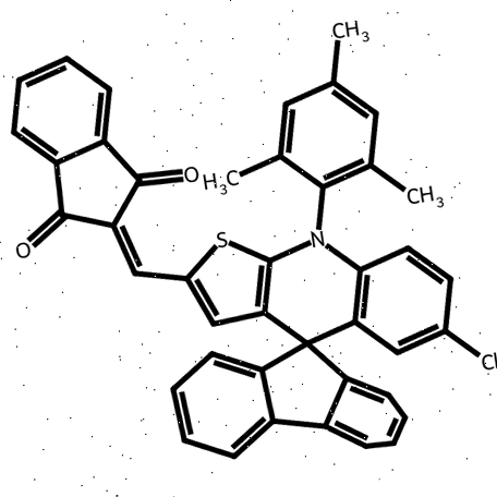 Cc1cc(C)c(N2c3ccc(Cl)cc3C3(c4ccccc4-c4ccccc43)c3cc(C=C4C(=O)c5ccccc5C4=O)sc32)c(C)c1